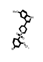 COc1ccc2[nH]cc(C3CCN(S(=O)(=O)c4ccc(Br)cc4OC(F)(F)F)CC3)c2c1